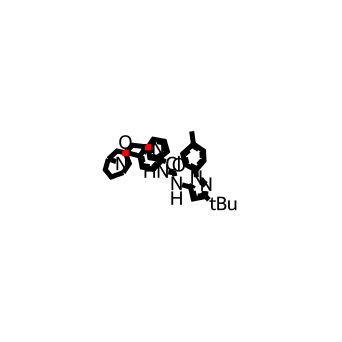 Cc1ccc(-n2nc(C(C)(C)C)cc2NC(=O)Nc2cccc(CC3CC4CCC(C3)N4C(=O)c3ccc(Cl)nc3)c2)cc1